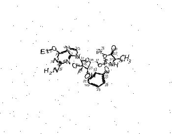 CCOc1nc(N)nc2c1ncn2[C@@H]1O[C@H](CO[P@](=S)(N[C@H](C)C(=O)OC(C)C)Oc2ccccc2)[C@@H](O)[C@]1(F)Cl